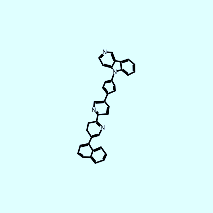 C1=C(c2cccc3ccccc23)CCC(c2ccc(-c3ccc(-n4c5ccccc5c5cnccc54)cc3)cn2)=N1